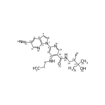 CCCNc1cc(-n2ccc3cc(C#N)cnc32)ncc1C(=O)NCC(F)C(C)(C)O